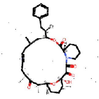 CC[C@H](Cc1ccccc1)[C@@H]1CC(C)C/C=C/C[C@@H](C)C(=O)[C@@H](C)[C@@H]2CC[C@@H](C)[C@@](O)(O2)C(=O)C(=O)N2CCCC[C@H]2C(=O)O1